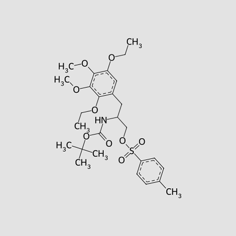 CCOc1cc(CC(COS(=O)(=O)c2ccc(C)cc2)NC(=O)OC(C)(C)C)c(OCC)c(OC)c1OC